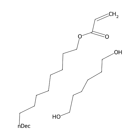 C=CC(=O)OCCCCCCCCCCCCCCCCCC.OCCCCCCO